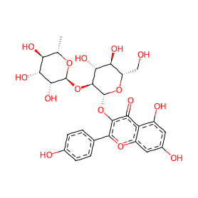 C[C@@H]1O[C@@H](O[C@@H]2[C@@H](Oc3c(-c4ccc(O)cc4)oc4cc(O)cc(O)c4c3=O)O[C@@H](CO)[C@H](O)[C@H]2O)[C@H](O)[C@H](O)[C@H]1O